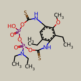 CCc1cc2c(OC)c(CC)c1NC(=S)OP(=O)(N(CC)CC)OP(=O)(O)OC(=S)N2